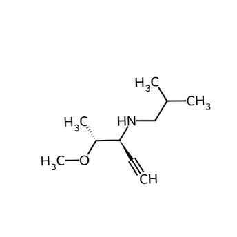 C#C[C@H](NCC(C)C)[C@@H](C)OC